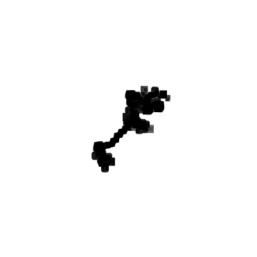 NC(=O)CC[C@H](NC(=O)[C@@H]1Cc2cccc3c2N1C(=O)[C@@H](NC(=O)c1cc2cc(C(=O)P(=O)(O)O)cc(C(=O)NCCCCCCCCC#Cc4cccc5c4CN(C4CCC(=O)NC4=O)C5=O)c2[nH]1)CC3)C(=O)NC(c1ccccc1)c1ccccc1